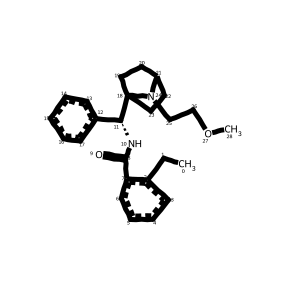 CCc1ccccc1C(=O)N[C@H](c1ccccc1)C12CCC(CC1)N2CCOC